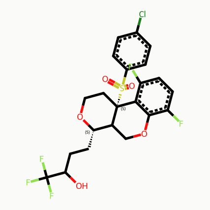 O=S(=O)(c1ccc(Cl)cc1)[C@@]12CCO[C@@H](CCC(O)C(F)(F)F)C1COc1c(F)ccc(F)c12